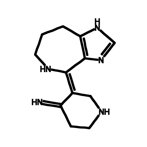 N=C1CCNC/C1=C1/NCCCc2[nH]cnc21